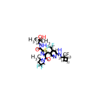 CC1CC(F)(F)CN1C(=O)c1nc(C(=O)NCC(C)(C)O)sc1-c1cnc(NCC2(C(F)(F)F)CCC2)cc1C(F)F